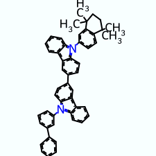 CC1(C)CCC(C)(C)c2cc(-n3c4ccccc4c4cc(-c5ccc6c(c5)c5ccccc5n6-c5cccc(-c6ccccc6)c5)ccc43)ccc21